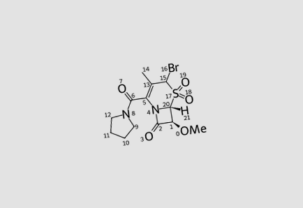 CO[C@H]1C(=O)N2C(C(=O)N3CCCC3)=C(C)C(Br)S(=O)(=O)[C@H]12